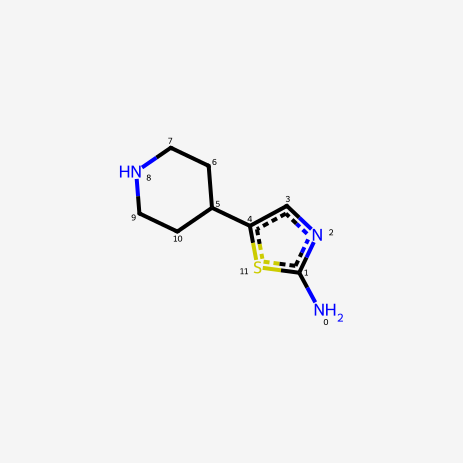 Nc1ncc(C2CCNCC2)s1